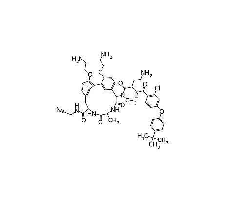 CC1NC(=O)C(N(C)C(=O)C(CCN)NC(=O)c2ccc(Oc3ccc(C(C)(C)C)cc3)cc2Cl)c2ccc(OCCN)c(c2)-c2cc(ccc2OCCN)CC(C(=O)NCC#N)NC1=O